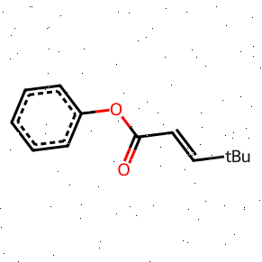 CC(C)(C)C=CC(=O)Oc1ccccc1